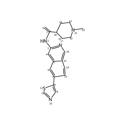 C=C(Nc1cc2cc(-c3cncs3)ccc2cn1)C1CCN(C)CC1